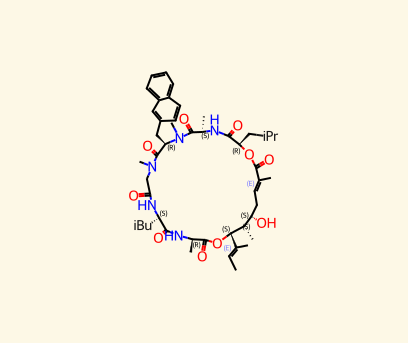 C/C=C(\C)[C@H]1OC(=O)[C@@H](C)NC(=O)[C@H](C(C)CC)NC(=O)CN(C)C(=O)[C@@H](Cc2ccc3ccccc3c2)N(C)C(=O)[C@H](C)NC(=O)[C@@H](CC(C)C)OC(=O)/C(C)=C/C[C@H](O)[C@@H]1C